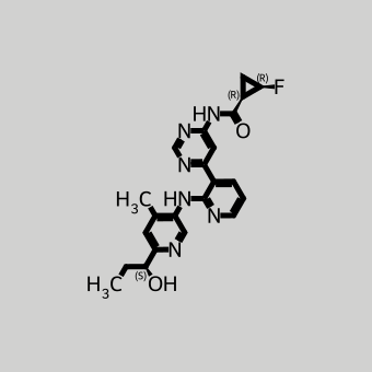 CC[C@H](O)c1cc(C)c(Nc2ncccc2-c2cc(NC(=O)[C@H]3C[C@H]3F)ncn2)cn1